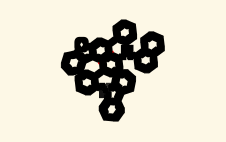 c1ccc(N(c2ccc(-c3ccccc3-n3c4ccccc4c4ccccc43)cc2)c2cccc3ccccc23)c(-c2ccc3c(c2)oc2ccccc23)c1